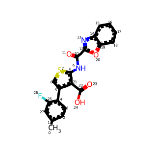 Cc1ccc(-c2csc(NC(=O)c3nc4ccccc4o3)c2C(=O)O)c(F)c1